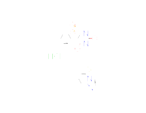 Cl.O=c1c(-c2ccccc2)c2n(c(=O)n1CCCCSc1cccc3nccn13)CCCS2(=O)=O